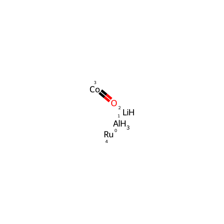 [AlH3].[LiH].[O]=[Co].[Ru]